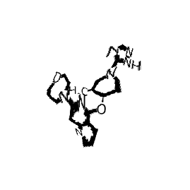 C[C@H]1CN(c2ncn[nH]2)CC[C@@H]1Oc1nc(N2CCOCC2)cc2ncccc12